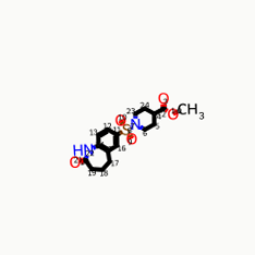 COC(=O)C1CCN(S(=O)(=O)c2ccc3c(c2)CCCC(=O)N3)CC1